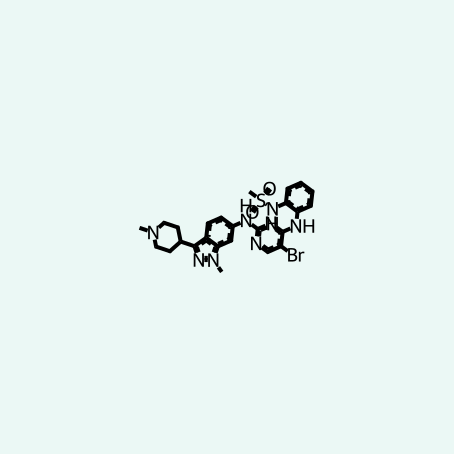 CN1CCC(c2nn(C)c3cc(Nc4ncc(Br)c(Nc5ccccc5NS(C)(=O)=O)n4)ccc23)CC1